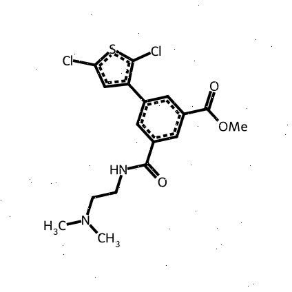 COC(=O)c1cc(C(=O)NCCN(C)C)cc(-c2cc(Cl)sc2Cl)c1